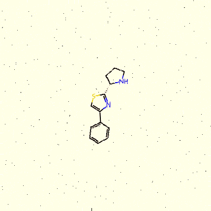 c1ccc(-c2csc([C@@H]3CCCN3)n2)cc1